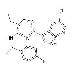 CCc1cnc(-c2c[nH]c3ncc(Cl)cc23)nc1N[C@@H](C)c1ccc(F)cc1